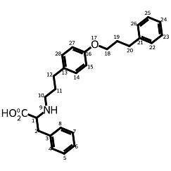 O=C(O)C(Cc1ccccc1)NCCCc1ccc(OCCCc2ccccc2)cc1